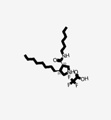 CCCCCCCC[C@@H]1CNC[C@H]1C(=O)NCCCCCC.O=C(O)C(F)(F)F